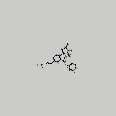 O=C(O)C=Cc1ccc(N2CC(=O)NS2(=O)=O)c(OCc2ccccc2)c1